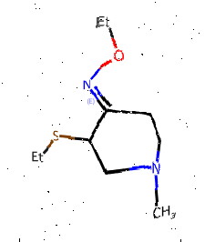 CCO/N=C1\CCN(C)CC1SCC